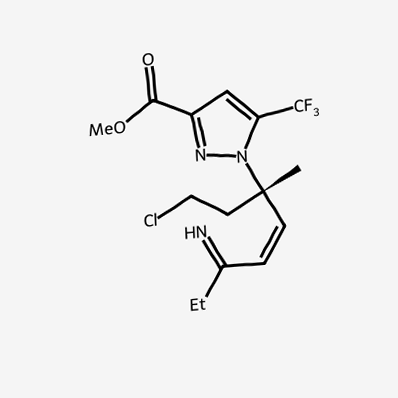 CCC(=N)/C=C\[C@](C)(CCCl)n1nc(C(=O)OC)cc1C(F)(F)F